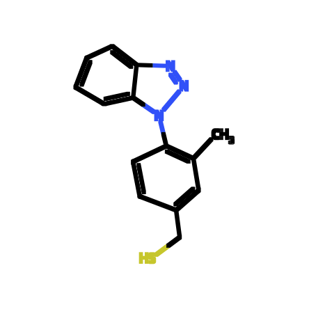 Cc1cc(CS)ccc1-n1nnc2ccccc21